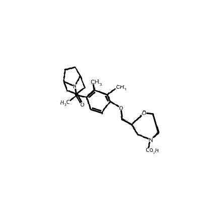 Cc1c(OCC2CN(C(=O)O)CCO2)ccc(C(C)N2C3CCC2CC(=O)C3)c1C